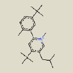 Cc1ccc(C(C)(C)C)cc1-c1cc([Si](C)(C)C)c(CC(C)C)c[n+]1C